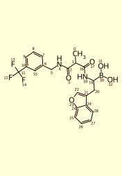 CC(C(=O)NCc1cccc(C(F)(F)F)c1)C(=O)NC(Cc1coc2ccccc12)B(O)O